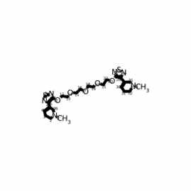 CN1CCC=C(c2nsnc2OCCOCCOCCOCCOc2nsnc2C2=CCCN(C)C2)C1